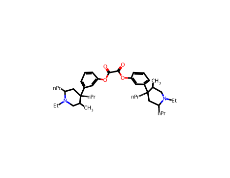 CCCC1CC(CCC)(c2cccc(OC(=O)C(=O)Oc3cccc(C4(CCC)CC(CCC)N(CC)CC4C)c3)c2)C(C)CN1CC